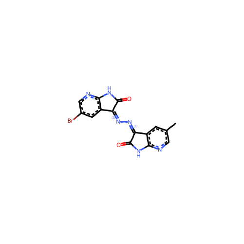 Cc1cnc2c(c1)/C(=N/N=C1\C(=O)Nc3ncc(Br)cc31)C(=O)N2